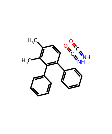 Cc1ccc(-c2ccccc2)c(-c2ccccc2)c1C.N=C=O.N=C=O